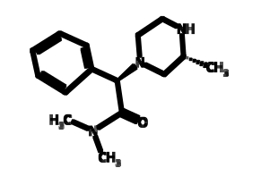 C[C@@H]1CN([C@@H](C(=O)N(C)C)c2ccccc2)CCN1